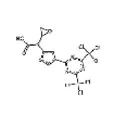 O=C(O)C(c1cc(-c2nc(C(Cl)(Cl)Cl)nc(C(Cl)(Cl)Cl)n2)cs1)C1CO1